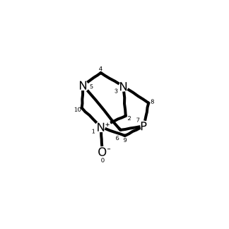 [O-][N+]12CN3CN(CP(C3)C1)C2